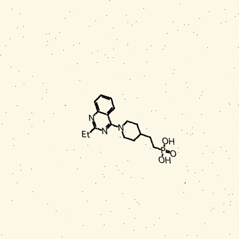 CCc1nc(N2CCC(CCP(=O)(O)O)CC2)c2ccccc2n1